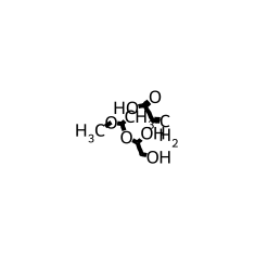 C=CC(=O)O.COC(C)OC(O)CO